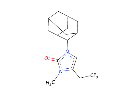 Cn1c(CC(F)(F)F)cn(C2C3CC4CC(C3)CC2C4)c1=O